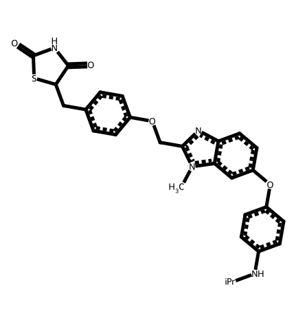 CC(C)Nc1ccc(Oc2ccc3nc(COc4ccc(CC5SC(=O)NC5=O)cc4)n(C)c3c2)cc1